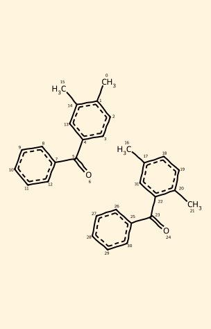 Cc1ccc(C(=O)c2ccccc2)cc1C.Cc1ccc(C)c(C(=O)c2ccccc2)c1